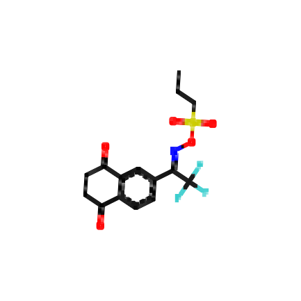 CCCS(=O)(=O)ON=C(c1ccc2c(c1)C(=O)CCC2=O)C(F)(F)F